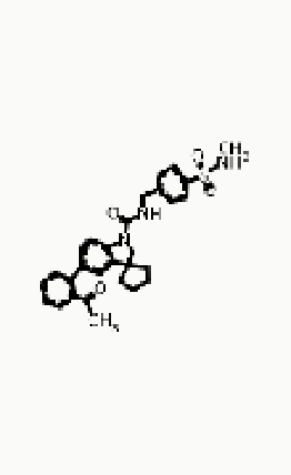 CNS(=O)(=O)c1ccc(CNC(=O)N2CC3(CCCC3)c3cc(-c4ccccc4C(C)=O)ccc32)cc1